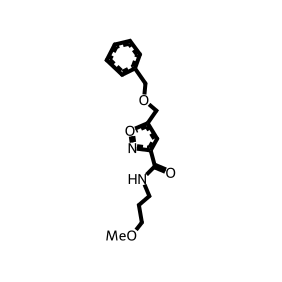 COCCCNC(=O)c1cc(COCc2ccccc2)on1